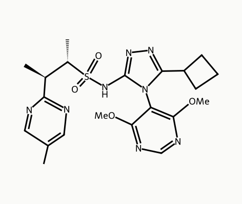 COc1ncnc(OC)c1-n1c(NS(=O)(=O)[C@@H](C)[C@H](C)c2ncc(C)cn2)nnc1C1CCC1